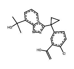 C=C(O)c1cc(C2(c3nnc4c(C(C)(C)O)cccn34)CC2)ccc1Cl